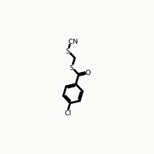 N#CSCSC(=O)c1ccc(Cl)cc1